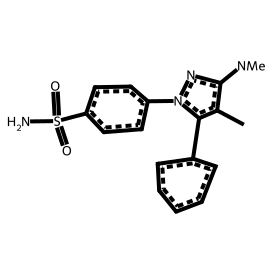 CNc1nn(-c2ccc(S(N)(=O)=O)cc2)c(-c2ccccc2)c1C